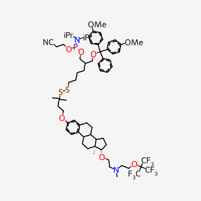 COc1ccc(C(OCC(CCCCSSC(C)(C)CCOc2ccc3c(c2)CCC2C3CC[C@@]3(C)C2CC[C@@H]3OCCN(C)CCOC(C(F)(F)F)(C(F)(F)F)C(F)(F)F)COP(OCCC#N)N(C(C)C)C(C)C)(c2ccccc2)c2ccc(OC)cc2)cc1